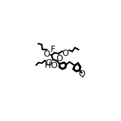 CCCCOCC1OC(O)(c2cccc(Cc3ccc(OC)cc3)c2)C(OCCCC)C(OCCCC)C1F